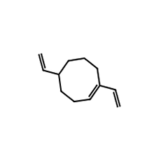 C=C/C1=C/CCC(C=C)CCC1